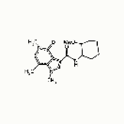 COC1CCCCC1NC(=O)c1cn(C)c2c(C)cn(C)c(=O)c12